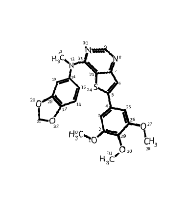 COc1cc(-c2cc3ncnc(N(C)c4ccc5c(c4)OCO5)c3s2)cc(OC)c1OC